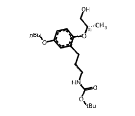 CCCCOc1ccc(O[C@@H](C)CO)c(CCCNC(=O)OC(C)(C)C)c1